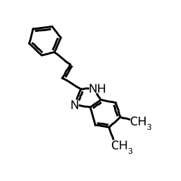 Cc1cc2nc(/C=C/c3ccccc3)[nH]c2cc1C